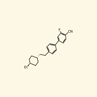 CC[C@H]1CC[C@H](CCc2ccc(-c3ccc(C#N)c(F)c3)cc2)CC1